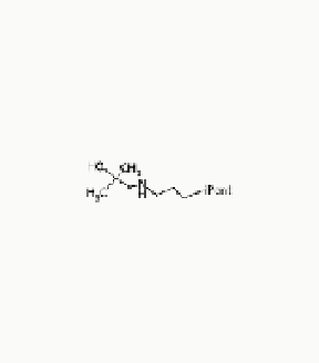 CCCC(C)CCCNCC(C)(C)O